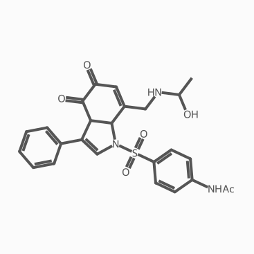 CC(=O)Nc1ccc(S(=O)(=O)N2C=C(c3ccccc3)C3C(=O)C(=O)C=C(CNC(C)O)C32)cc1